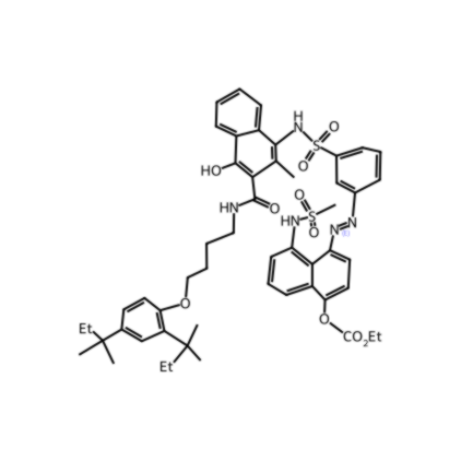 CCOC(=O)Oc1ccc(/N=N/c2cccc(S(=O)(=O)Nc3c(C)c(C(=O)NCCCCOc4ccc(C(C)(C)CC)cc4C(C)(C)CC)c(O)c4ccccc34)c2)c2c(NS(C)(=O)=O)cccc12